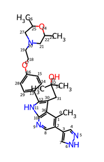 Cc1c(-c2cn[nH]c2)cnc2[nH]c(-c3ccc(OCCN4CC(C)OC(C)C4)cc3)c(CC(C)(C)O)c12